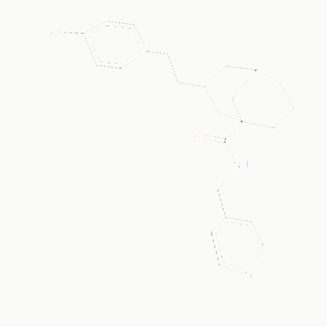 O=C(NCc1ccncc1)C12CCCC(CC(CCc3ccc(Cl)cc3)C1)C2